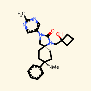 CN[C@]1(c2ccccc2)CC[C@]2(CC1)CN(c1cnc(C(F)(F)F)nc1)C(=O)N2CC1(O)CCC1